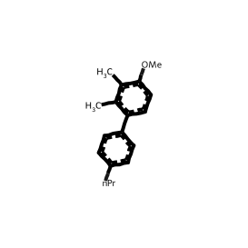 CCCc1ccc(-c2ccc(OC)c(C)c2C)cc1